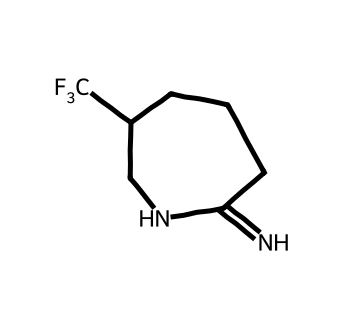 N=C1CCCC(C(F)(F)F)CN1